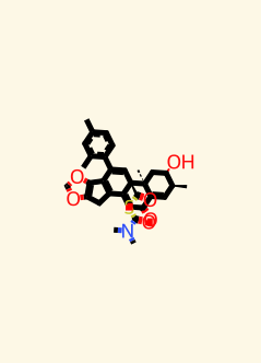 Cc1ccc(C2=C[C@@]3(C(=O)SC(=O)N(C)C)C(=CC(=O)C4=C[C@H](C)[C@@H](O)C[C@@]43C)C3=C2C2=C(C3)OCO2)c(C)c1